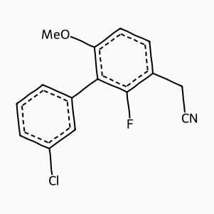 COc1ccc(CC#N)c(F)c1-c1cccc(Cl)c1